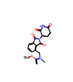 C=C(OC(C)(C)C)N(C)Cc1cccc2c1C(=O)N(C1CCC(=O)NC1=O)C2=O